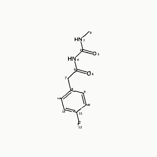 CNC(=O)NC(=O)Cc1ccc(F)cc1